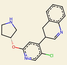 Clc1cnc(O[C@@H]2CCNC2)cc1C1C=Nc2ccccc2C1